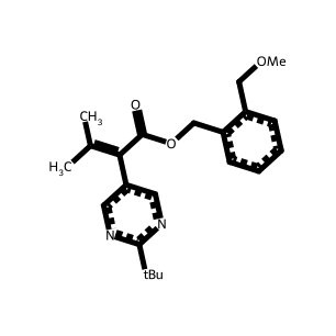 COCc1ccccc1COC(=O)C(=C(C)C)c1cnc(C(C)(C)C)nc1